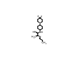 C=C(/N=C/CC)C(=N)NC1CCC(N2CCC(F)(F)CC2)CC1